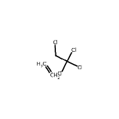 C=C.ClCC(Cl)(Cl)Cl